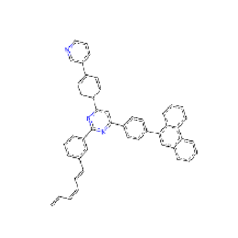 C=C/C=C\C=C\c1cccc(-c2nc(-c3ccc(-c4cc5ccccc5c5ccccc45)cc3)cc(C3C=CC(c4cccnc4)=CC3)n2)c1